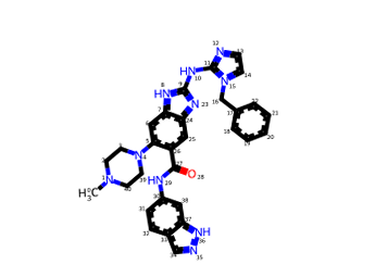 CN1CCN(c2cc3[nH]c(Nc4nccn4Cc4ccccc4)nc3cc2C(=O)Nc2ccc3cn[nH]c3c2)CC1